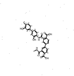 CNC(=O)c1cc(-c2ccc(C(=O)O)c(C(=O)Nc3ccc(-c4ccc(C)c(O)c4)cc3O)c2)ccc1C(=O)O